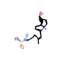 CC(CCN[S+]([O-])C(C)(C)C)Cc1ccc2cc(Br)ccc2n1